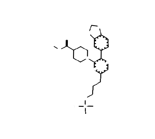 CC(C)(C)OC(=O)C1CCN(c2nc(CCCO[Si](C)(C)C(C)(C)C)cnc2-c2ccc3c(c2)OCO3)CC1